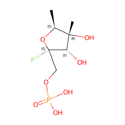 C[C@@H]1O[C@](F)(COP(=O)(O)O)[C@@H](O)[C@@]1(C)O